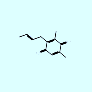 C/C=C/CC1=C(C)C(=O)C(C)=CC1=O